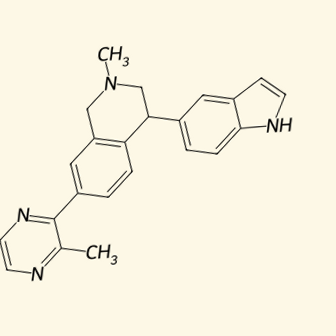 Cc1nccnc1-c1ccc2c(c1)CN(C)CC2c1ccc2[nH]ccc2c1